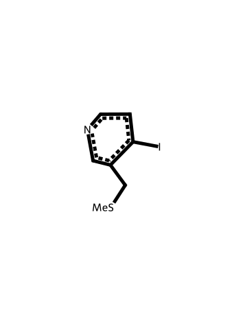 CSCc1cnccc1I